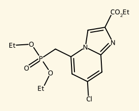 CCOC(=O)c1cn2c(CP(=O)(OCC)OCC)cc(Cl)cc2n1